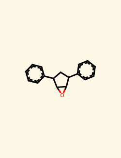 c1ccc(C2CC(c3ccccc3)C3OC23)cc1